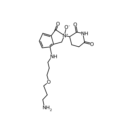 NCCCOCCCNc1cccc2c1C[N+]([O-])(C1CCC(=O)NC1=O)C2=O